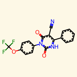 N#Cc1c(-c2ccccc2)[nH]c(=O)n(-c2ccc(OC(F)(F)F)cc2)c1=O